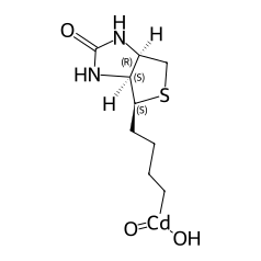 O=C1N[C@H]2[C@H](CS[C@H]2CCC[CH2][Cd](=[O])[OH])N1